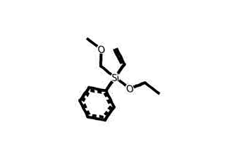 C=C[Si](COC)(OCC)c1ccccc1